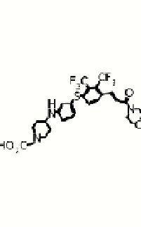 O=C(O)CN1CCC(Nc2cccc(Sc3ccc(C=CC(=O)N4CCOCC4)c(C(F)(F)F)c3C(F)(F)F)c2)CC1